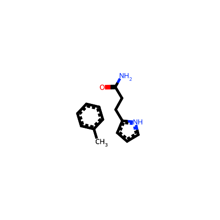 Cc1ccccc1.NC(=O)CCc1ccc[nH]1